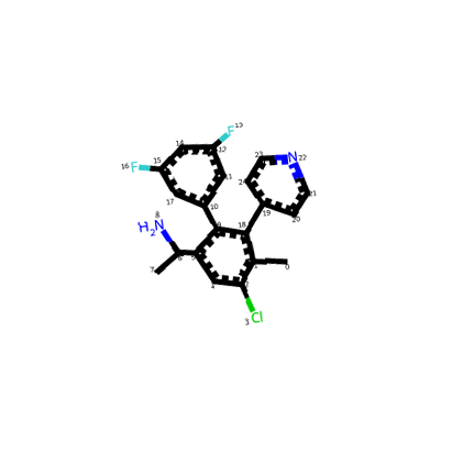 Cc1c(Cl)cc(C(C)N)c(-c2cc(F)cc(F)c2)c1-c1ccncc1